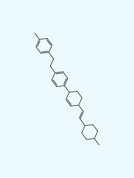 Cc1ccc(CCc2ccc(C3C=CC(/C=C/C4CCC(C)CC4)CC3)cc2)cc1